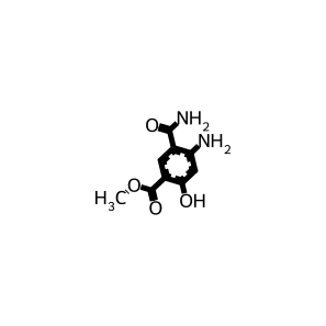 COC(=O)c1cc(C(N)=O)c(N)cc1O